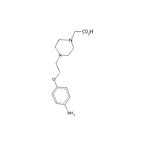 Nc1ccc(OCCN2CCN(CC(=O)O)CC2)cc1